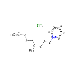 CCCCCCCCCCCCCC(CC)CCC[n+]1ccccc1.[Cl-]